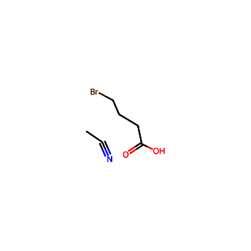 CC#N.O=C(O)CCCBr